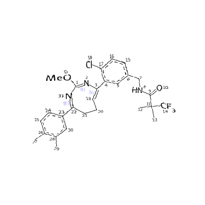 COC1=N/C(c2cc(CNC(=O)C(C)(C)C(F)(F)F)ccc2Cl)=C/CC/C(c2ccc(C)c(C)c2)=N\1